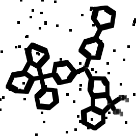 C[Si]1(C)C2=C(C=CCC2)c2cc(N(c3ccc(-c4ccccc4)cc3)c3ccc(C4(c5ccccc5)c5ccccc5-c5ccccc54)cc3)ccc21